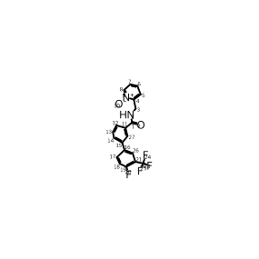 O=C(NCc1cccc[n+]1[O-])c1cccc(-c2ccc(F)c(C(F)(F)F)c2)c1